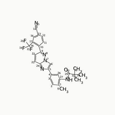 Cc1ccc(-c2cn3nc(-c4ccc(C#N)cc4C(F)(F)F)ccc3n2)cc1NC(=O)C(C)(C)C